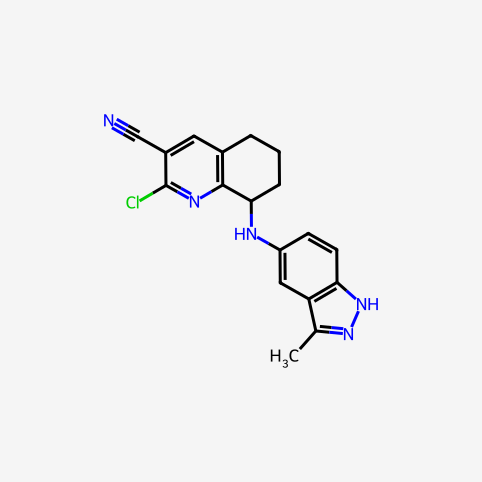 Cc1n[nH]c2ccc(NC3CCCc4cc(C#N)c(Cl)nc43)cc12